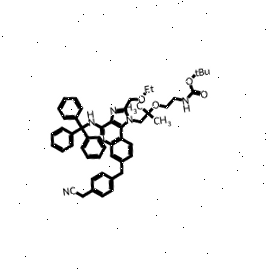 CCOCc1nc2c(NC(c3ccccc3)(c3ccccc3)c3ccccc3)nc3cc(Cc4ccc(CC#N)cc4)ccc3c2n1CC(C)(C)OCCNC(=O)OC(C)(C)C